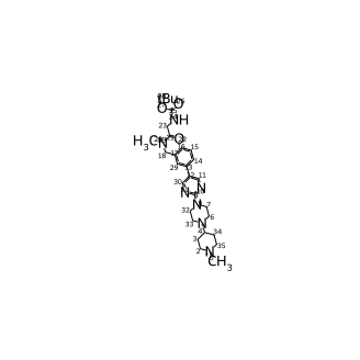 CN1CCC(N2CCN(c3ncc(-c4cccc(CN(C)C(=O)CNC(=O)OC(C)(C)C)c4)cn3)CC2)CC1